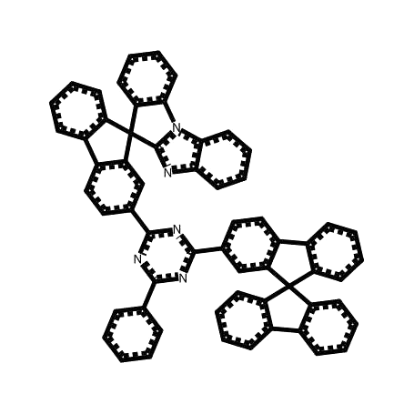 c1ccc(-c2nc(-c3ccc4c(c3)C3(c5ccccc5-c5ccccc53)c3ccccc3-4)nc(-c3ccc4c(c3)C3(c5ccccc5-4)c4ccccc4-n4c3nc3ccccc34)n2)cc1